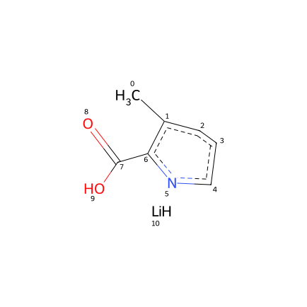 Cc1cccnc1C(=O)O.[LiH]